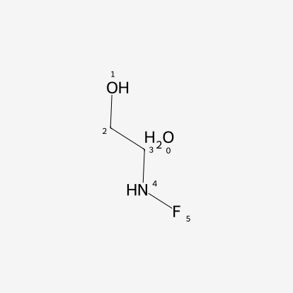 O.OCCNF